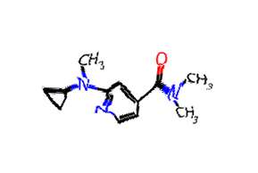 CN(C)C(=O)c1ccnc(N(C)C2CC2)c1